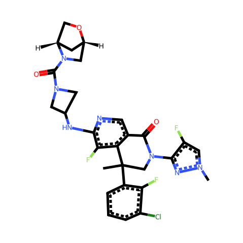 Cn1cc(F)c(N2CC(C)(c3cccc(Cl)c3F)c3c(cnc(NC4CN(C(=O)N5C[C@@H]6C[C@H]5CO6)C4)c3F)C2=O)n1